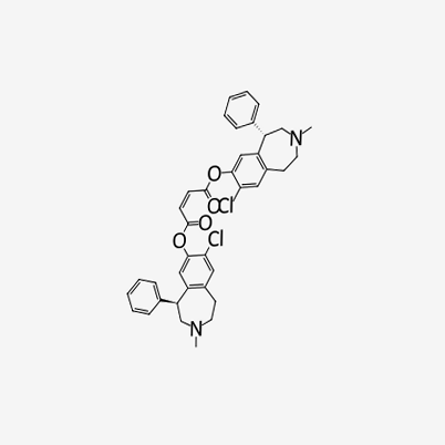 CN1CCc2cc(Cl)c(OC(=O)/C=C\C(=O)Oc3cc4c(cc3Cl)CCN(C)C[C@H]4c3ccccc3)cc2[C@H](c2ccccc2)C1